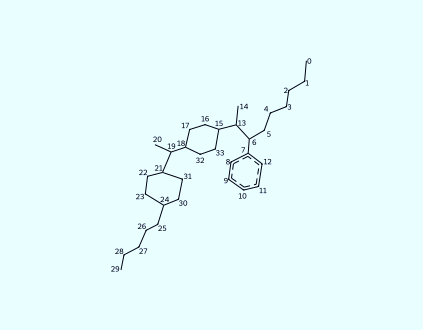 CCCCCCC(c1ccccc1)C(C)C1CCC(C(C)C2CCC(CCCCC)CC2)CC1